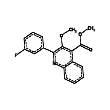 COC(=O)c1c(OC)c(-c2cccc(F)c2)nc2ccccc12